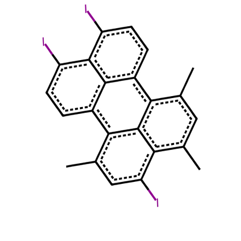 Cc1cc(C)c2c3ccc(I)c4c(I)ccc(c5c(C)cc(I)c1c25)c43